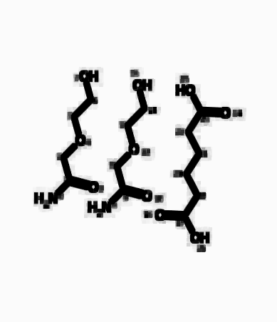 NC(=O)COCCO.NC(=O)COCCO.O=C(O)CCCCC(=O)O